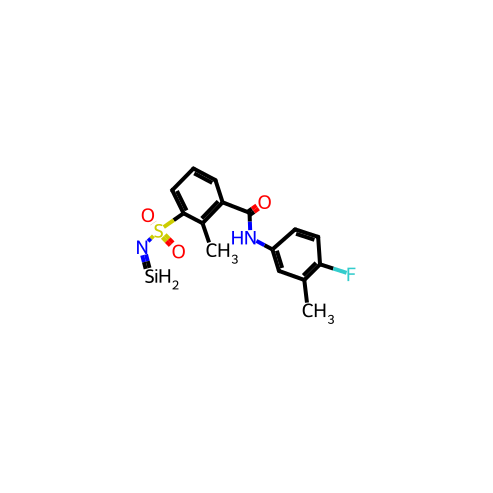 Cc1cc(NC(=O)c2cccc(S(=O)(=O)N=[SiH2])c2C)ccc1F